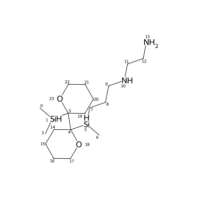 C[SiH](C)C1(C2([SiH](C)CCCNCCN)CCCCO2)CCCCO1